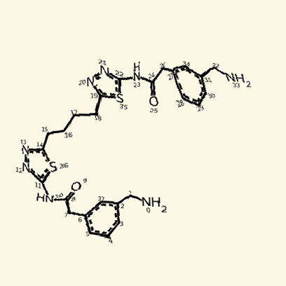 NCc1cccc(CC(=O)Nc2nnc(CCCCc3nnc(NC(=O)Cc4cccc(CN)c4)s3)s2)c1